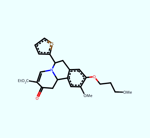 CCOC(=O)C1=CN2C(c3cccs3)Cc3cc(OCCCOC)c(OC)cc3C2CC1=O